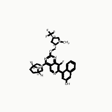 CN1C[C@H](C(F)(F)F)C[C@H]1COc1nc(N2C[C@H]3CC[C@@H](C2)N3)c2cnc(-c3cc(O)cc4ccccc34)c(F)c2n1